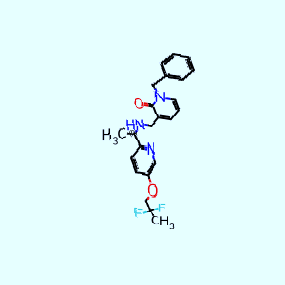 C[C@@H](NCc1cccn(Cc2ccccc2)c1=O)c1ccc(OCC(C)(F)F)cn1